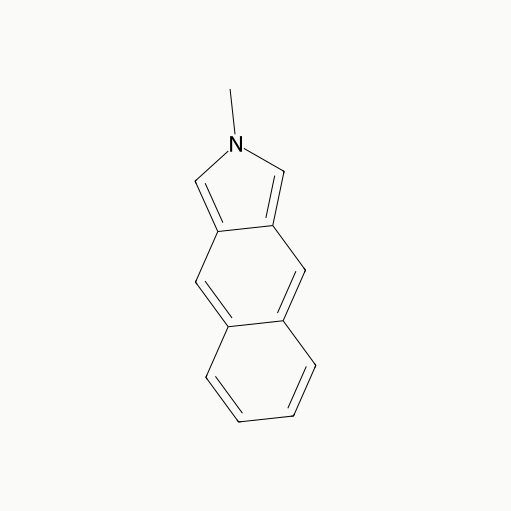 Cn1cc2cc3ccccc3cc2c1